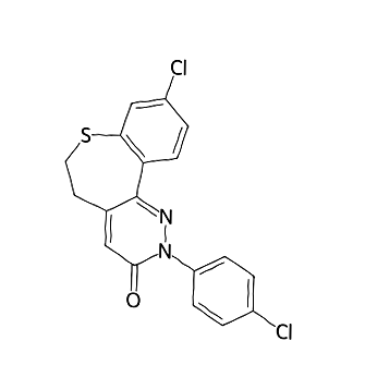 O=c1cc2c(nn1-c1ccc(Cl)cc1)-c1ccc(Cl)cc1SCC2